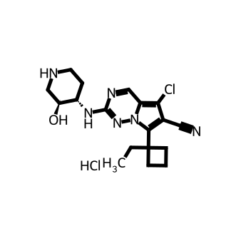 CCC1(c2c(C#N)c(Cl)c3cnc(N[C@H]4CCNC[C@@H]4O)nn23)CCC1.Cl